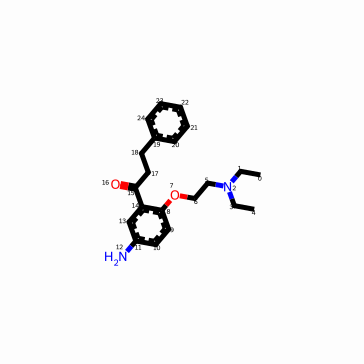 CCN(CC)CCOc1ccc(N)cc1C(=O)CCc1ccccc1